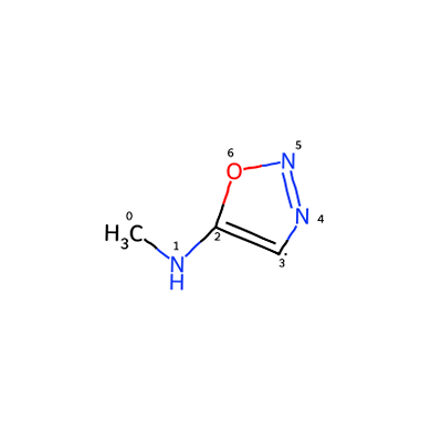 CNc1[c]nno1